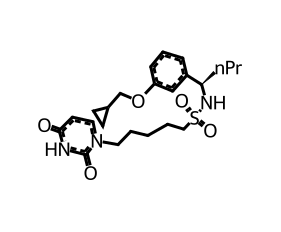 CCC[C@@H](NS(=O)(=O)CCCCCn1ccc(=O)[nH]c1=O)c1cccc(OCC2CC2)c1